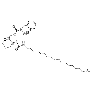 CC[n+]1ccccc1CN(C(C)=O)C(=O)OC[C@@H]1OCCC[C@@H]1SC(=O)NCCCCCCCCCCCCCCCCCC(C)=O